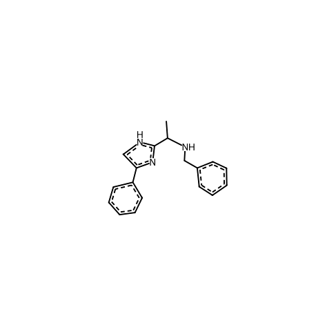 CC(NCc1ccccc1)c1nc(-c2ccccc2)c[nH]1